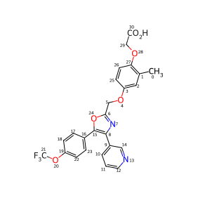 Cc1cc(OCc2nc(-c3cccnc3)c(-c3ccc(OC(F)(F)F)cc3)o2)ccc1OCC(=O)O